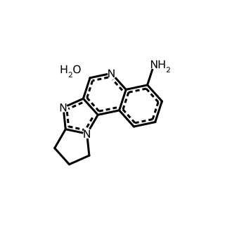 Nc1cccc2c1ncc1nc3n(c12)CCC3.O